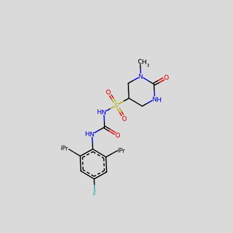 CC(C)c1cc(F)cc(C(C)C)c1NC(=O)NS(=O)(=O)C1CNC(=O)N(C)C1